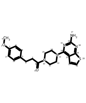 COc1ccc(CCC(=O)N2CCN(c3nc(N)nc4sccc34)CC2)cc1